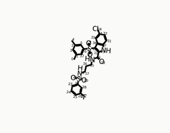 Cc1cc(C)cc(S(=O)(=O)c2c(C(=O)NCCCNS(=O)(=O)c3cccc(F)c3)[nH]c3ccc(Cl)cc23)c1